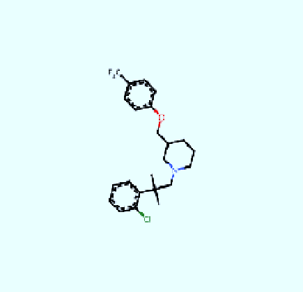 CC(C)(CN1CCCC(COc2ccc(C(F)(F)F)cc2)C1)c1ccccc1Cl